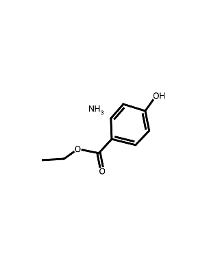 CCOC(=O)c1ccc(O)cc1.N